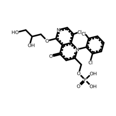 O=c1cc(COP(=O)(O)O)n(-c2c(Cl)cccc2Cl)c2c(Cl)cnc(OCC(O)CO)c12